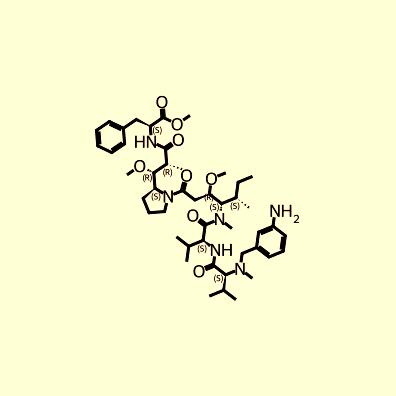 CC[C@H](C)[C@@H]([C@@H](CC(=O)N1CCC[C@H]1[C@H](OC)[C@@H](C)C(=O)N[C@@H](Cc1ccccc1)C(=O)OC)OC)N(C)C(=O)[C@@H](NC(=O)[C@H](C(C)C)N(C)Cc1cccc(N)c1)C(C)C